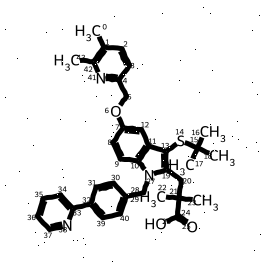 Cc1ccc(COc2ccc3c(c2)c(SC(C)(C)C)c(CC(C)(C)C(=O)O)n3Cc2ccc(-c3ccccn3)cc2)nc1C